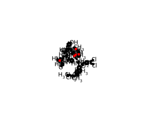 CC(C)CCC[C@@H](C)[C@H]1CC[C@H]2[C@@H]3CC=C4C[C@@H](OC(=O)Cc5ccc(N(CCCl)CCCl)cc5)CC[C@]4(C)[C@H]3CC[C@]12C.CCNC(=O)[C@@H]1CCCN1C(=O)[C@H](CCCNC(=N)N)NC(=O)[C@H](CC(C)C)NC(=O)[C@@H](CC(C)C)NC(=O)[C@H](Cc1ccc(O)cc1)NC(=O)[C@H](CO)NC(=O)[C@H](Cc1c[nH]c2ccccc12)NC(=O)[C@H](Cc1cnc[nH]1)NC(=O)[C@@H]1CCC(=O)N1